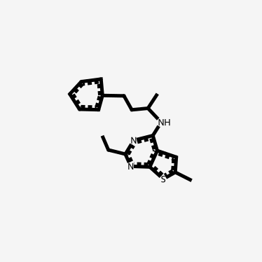 CCc1nc(NC(C)CCc2ccccc2)c2cc(C)sc2n1